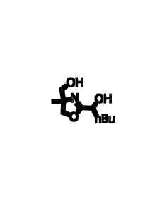 CCCCC(O)C1=NC(C)(CO)CO1